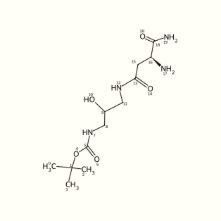 CC(C)(C)OC(=O)NCC(O)CNC(=O)C[C@H](N)C(N)=O